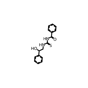 O=C(NC(=S)NCC(O)c1ccccc1)c1ccccc1